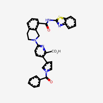 O=C(Nc1nc2ccccc2s1)c1cccc2c1CN(c1ccc(-c3ccn(C(=O)c4ccccc4)c3)c(C(=O)O)n1)CC2